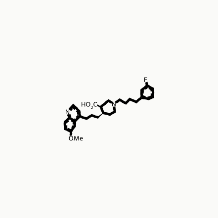 COc1ccc2nccc(CCC[C@@H]3CCN(CCCCc4cccc(F)c4)C[C@@H]3C(=O)O)c2c1